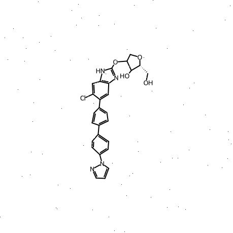 OC[C@H]1OCC(Oc2nc3cc(-c4ccc(-c5ccc(-n6cccn6)cc5)cc4)c(Cl)cc3[nH]2)C1O